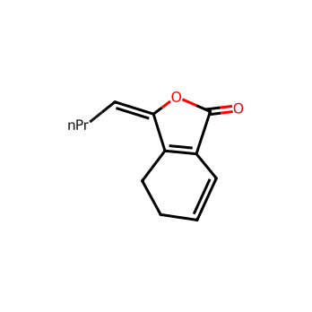 CCC/C=C1/OC(=O)C2=C1CCC=C2